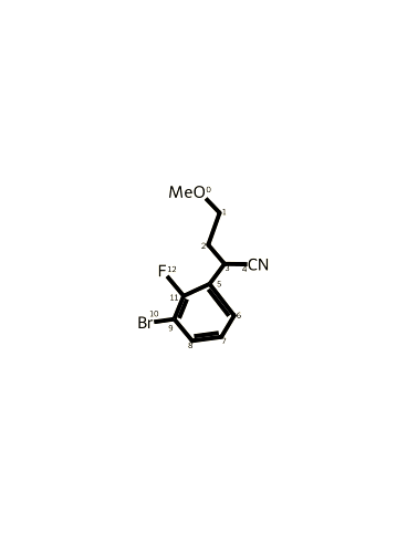 COCCC(C#N)c1cccc(Br)c1F